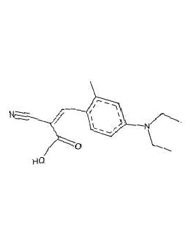 CCN(CC)c1ccc(C=C(C#N)C(=O)O)c(C)c1